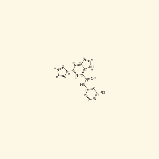 O=C(Nc1ccnc(Cl)c1)c1nc(-n2ccnc2)nc2cc[nH]c12